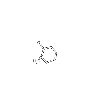 O.O=c1cccco1